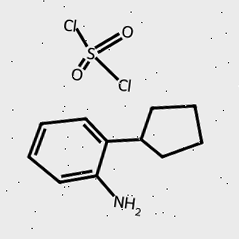 Nc1ccccc1C1CCCC1.O=S(=O)(Cl)Cl